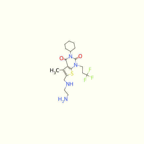 Cc1c(CNCCN)sc2c1c(=O)n(C1CCCCC1)c(=O)n2CCC(F)(F)F